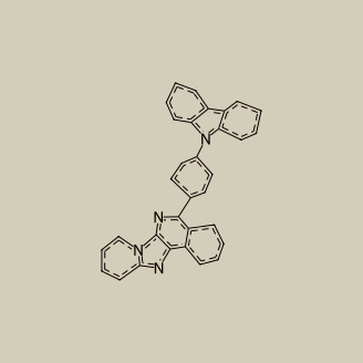 c1ccc2c(c1)c(-c1ccc(-n3c4ccccc4c4ccccc43)cc1)nc1c2nc2ccccn21